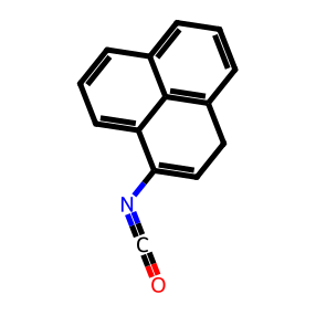 O=C=NC1=CCc2cccc3cccc1c23